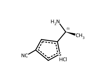 C[C@H](N)c1cc(C#N)cs1.Cl